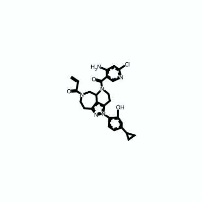 C=CC(=O)N1CCc2nn(-c3ccc(C4CC4)cc3O)c3c2C(C1)N(C(=O)c1cnc(Cl)cc1N)CC3